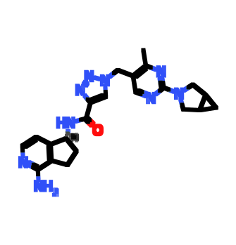 Cc1nc(N2CC3CC3C2)ncc1Cn1cc(C(=O)N[C@@H]2CCc3c2ccnc3N)nn1